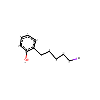 Oc1ccccc1CCCCCI